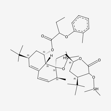 CCC(Oc1ccccc1C)C(=O)O[C@H]1C[C@H](C(C)(C)C)C=C2C=C[C@H](C)[C@](CC[C@@H]3C[C@H](C(C)(C)C)C(O[SiH](C)C)C(=O)O3)(O[SiH](C)C)[C@H]21